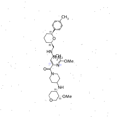 C=C(/C=C(\N=C(/N)OC)C(=O)N1CCC(N[C@H]2CCOC[C@H]2OC)CC1)NC[C@H]1CCC[C@@H](c2ccc(C)cc2)O1